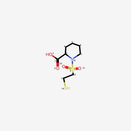 O=C(O)C1CCCCN1S(=O)(=O)CCS